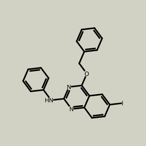 Ic1ccc2nc(Nc3ccccc3)nc(OCc3ccccc3)c2c1